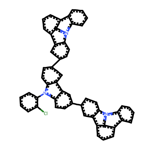 Clc1ccccc1-n1c2ccc(-c3ccc4c(c3)c3cccc5c6ccccc6n4c53)cc2c2cc(-c3ccc4c(c3)c3cccc5c6ccccc6n4c53)ccc21